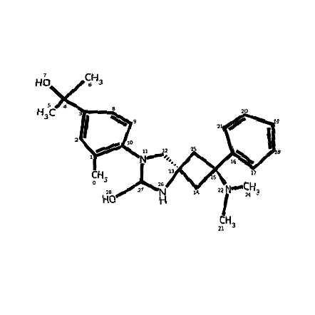 Cc1cc(C(C)(C)O)ccc1N1C[C@]2(C[C@](c3ccccc3)(N(C)C)C2)NC1O